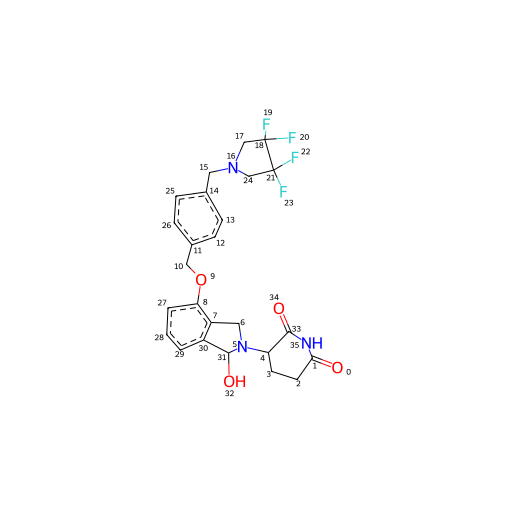 O=C1CCC(N2Cc3c(OCc4ccc(CN5CC(F)(F)C(F)(F)C5)cc4)cccc3C2O)C(=O)N1